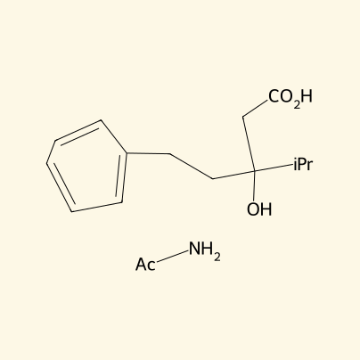 CC(C)C(O)(CCc1ccccc1)CC(=O)O.CC(N)=O